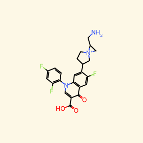 NCC1C[N+]12CCC(c1cc3c(cc1F)c(=O)c(C(=O)O)cn3-c1ccc(F)cc1F)C2